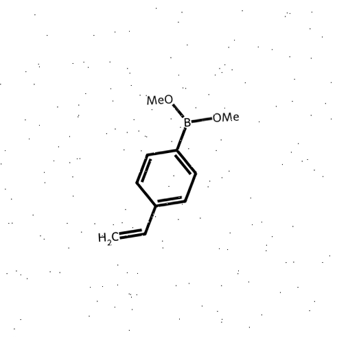 C=Cc1ccc(B(OC)OC)cc1